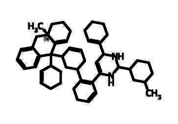 CC1CCCC(C2NC(C3=C(C4CC=CC(C5(C6C=CCCC6)C6=CCCC[C@@]6(C)Cc6ccccc65)C4)CCC=C3)=CC(C3=CCCCC3)N2)C1